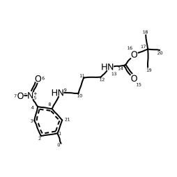 Cc1ccc([N+](=O)[O-])c(NCCCNC(=O)OC(C)(C)C)c1